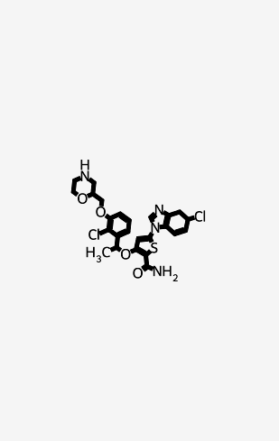 CC(Oc1cc(-n2cnc3c2C=CC(Cl)C3)sc1C(N)=O)c1cccc(OCC2CNCCO2)c1Cl